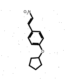 O=[N+]([O-])C=Cc1ccc(OC2CCCC2)cc1